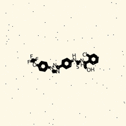 OCC(NC(=S)Nc1ccc(-c2ncn(-c3ccc(OC(F)(F)F)cc3)n2)cc1)c1ccccc1Cl